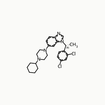 C[C@H](c1ccc(Cl)cc1Cl)n1cnc2ccc(N3CCN(C4CCCCC4)CC3)cc21